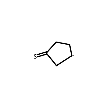 S=C1C[CH]CC1